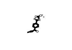 CC#CC(=O)c1ccc(-c2noc(C(F)(F)F)n2)cc1